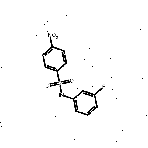 O=[N+]([O-])c1ccc(S(=O)(=O)Nc2cccc(F)c2)cc1